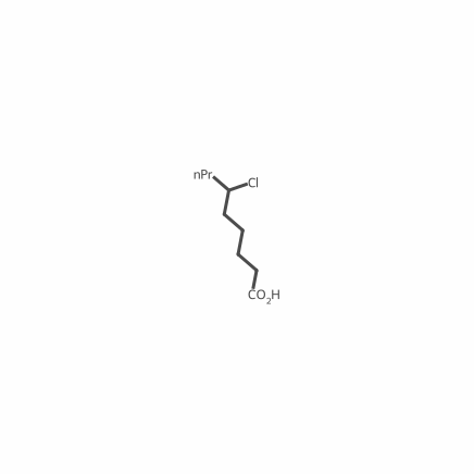 CCCC(Cl)CCCCC(=O)O